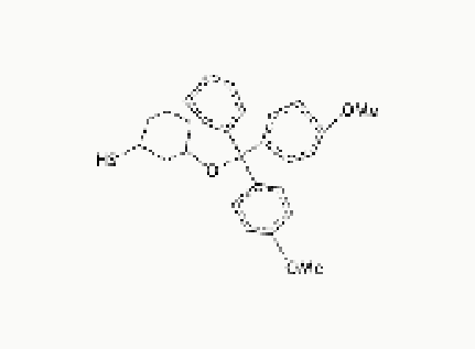 COc1ccc(C(OC2CCCC(S)C2)(c2ccccc2)c2ccc(OC)cc2)cc1